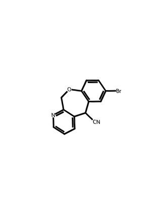 N#CC1c2cc(Br)ccc2OCc2ncccc21